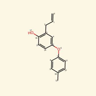 C=CCc1cc(Oc2ccc(C)cc2)ccc1O